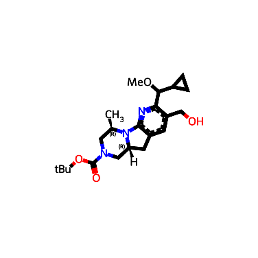 COC(c1nc2c(cc1CO)C[C@@H]1CN(C(=O)OC(C)(C)C)C[C@@H](C)N21)C1CC1